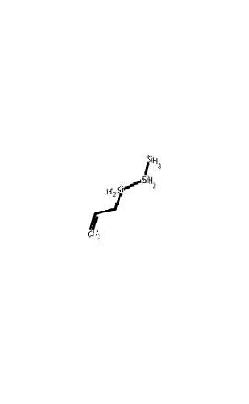 C=CC[SiH2][SiH2][SiH3]